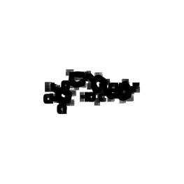 CCc1c(OC2CCN(CC3CCN([C@@](C)(Cc4ccc(F)cc4)C(=O)O)CC3)CC2)ccc(Cl)c1Cl